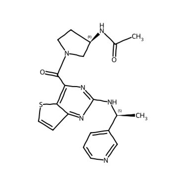 CC(=O)N[C@@H]1CCN(C(=O)c2nc(N[C@@H](C)c3cccnc3)nc3ccsc23)C1